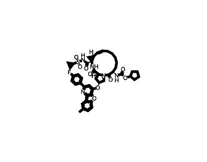 Cc1ccc2oc3c(O[C@@H]4C[C@H]5C(=O)N[C@]6(C(=O)NS(=O)(=O)C7CC7)C[C@H]6/C=C\CCCCC[C@H](NC(=O)OC6CCCC6)C(=O)N5C4)cc(-c4ccc(F)cc4)nc3c2c1